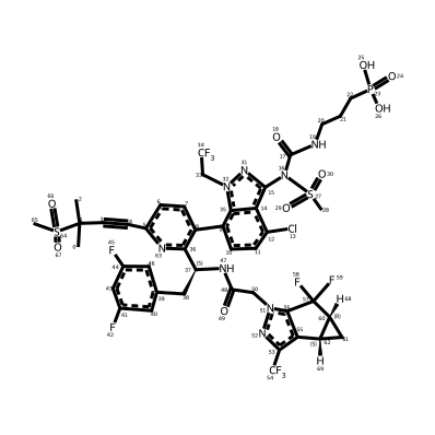 CC(C)(C#Cc1ccc(-c2ccc(Cl)c3c(N(C(=O)NCCCP(=O)(O)O)S(C)(=O)=O)nn(CC(F)(F)F)c23)c([C@H](Cc2cc(F)cc(F)c2)NC(=O)Cn2nc(C(F)(F)F)c3c2C(F)(F)[C@@H]2C[C@H]32)n1)S(C)(=O)=O